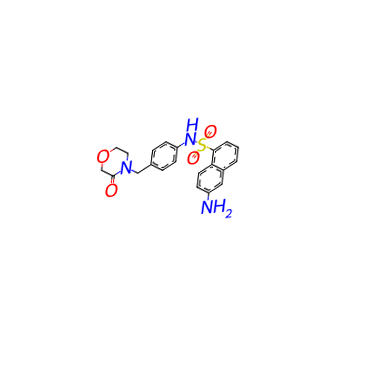 Nc1ccc2c(S(=O)(=O)Nc3ccc(CN4CCOCC4=O)cc3)cccc2c1